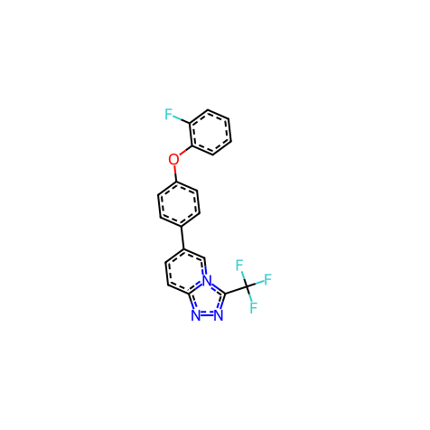 Fc1ccccc1Oc1ccc(-c2ccc3nnc(C(F)(F)F)n3c2)cc1